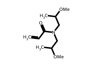 C=CC(=O)N(CC(C)OC)CC(C)OC